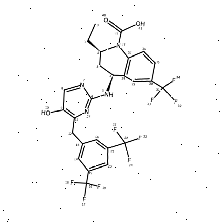 CC[C@@H]1C[C@H](Nc2ncc(O)c(Cc3cc(C(F)(F)F)cc(C(F)(F)F)c3)n2)c2cc(C(F)(F)F)ccc2N1C(=O)O